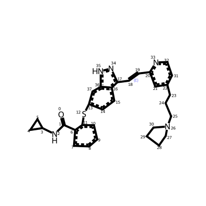 O=C(NC1CC1)c1ccccc1Sc1ccc2c(/C=C/c3cc(CCCN4CCCC4)ccn3)n[nH]c2c1